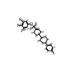 Cc1ccc(C2CCC(C3CC=C(C(F)(F)Oc4cc(F)c(F)c(F)c4)CC3)CC2)cc1